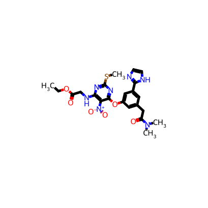 CCOC(=O)CNc1nc(SC)nc(Oc2cc(CC(=O)N(C)C)cc(-c3ncc[nH]3)c2)c1[N+](=O)[O-]